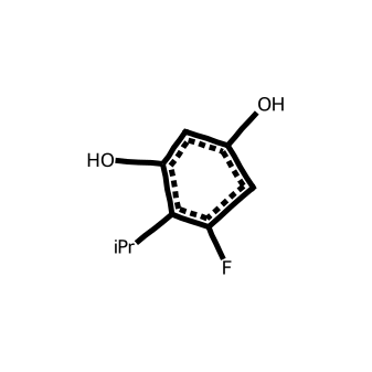 CC(C)c1c(O)cc(O)cc1F